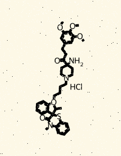 COc1cc(CCC(=O)C2(N)CCN(CCCCOc3ccccc3C3(C(C)C)Sc4ccccc4N(C)C3=O)CC2)cc(OC)c1OC.Cl